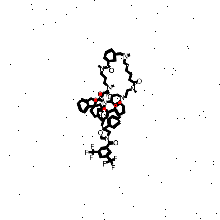 CN(CCCCCC(=O)N(C)CCN1CCC(N(C(=O)O)c2ccccc2-c2ccccc2)CC1)Cc1cccc(C(=O)N(C)CCCN(C)C(=O)CO[C@H]2Cc3ccccc3C23CCN(CC[C@@]2(c4ccc(F)cc4)CN(C(=O)c4cc(C(F)(F)F)cc(C(F)(F)F)c4)CO2)CC3)c1